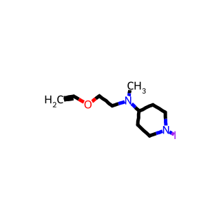 C=COCCN(C)C1CCN(I)CC1